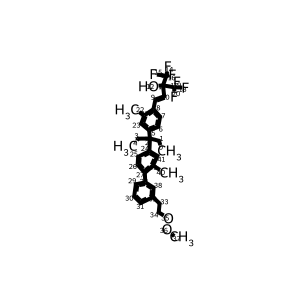 CCC(CC)(c1ccc(/C=C/C(O)(C(F)(F)F)C(F)(F)F)c(C)c1)c1ccc(-c2cccc(CCOOC)c2)c(C)c1